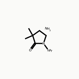 CCCN1CCC(C)(C)C1=O.N